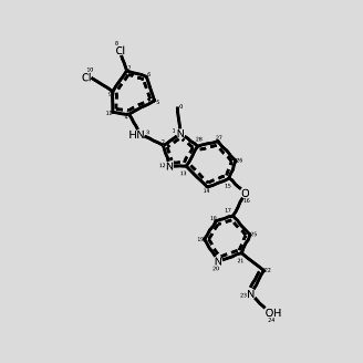 Cn1c(Nc2ccc(Cl)c(Cl)c2)nc2cc(Oc3ccnc(C=NO)c3)ccc21